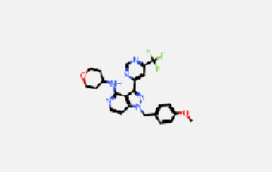 COc1ccc(Cn2nc(-c3cc(C(F)(F)F)ncn3)c3c(NC4CCOCC4)nccc32)cc1